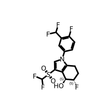 O=S(=O)(c1cn(-c2ccc(F)c(C(F)F)c2)c2c1[C@H](O)[C@@H](F)CC2)C(F)F